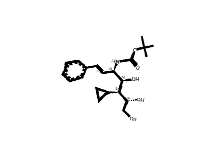 CC(C)(C)OC(=O)N[C@H](/C=C/c1ccccc1)[C@@H](O)[C@H](C1CC1)[C@H](O)CO